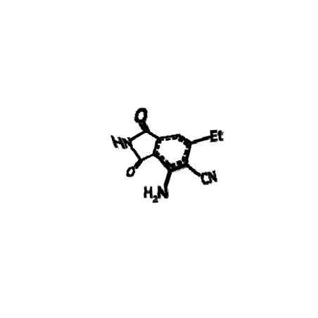 CCc1cc2c(c(N)c1C#N)C(=O)NC2=O